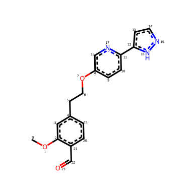 COc1cc(CCOc2ccc(-c3ccn[nH]3)nc2)ccc1C=O